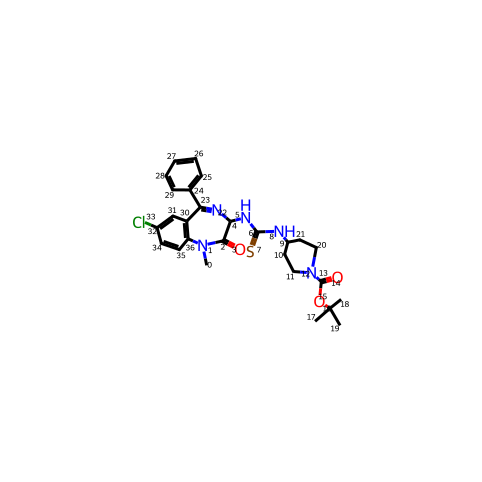 CN1C(=O)C(NC(=S)NC2CCN(C(=O)OC(C)(C)C)CC2)N=C(c2ccccc2)c2cc(Cl)ccc21